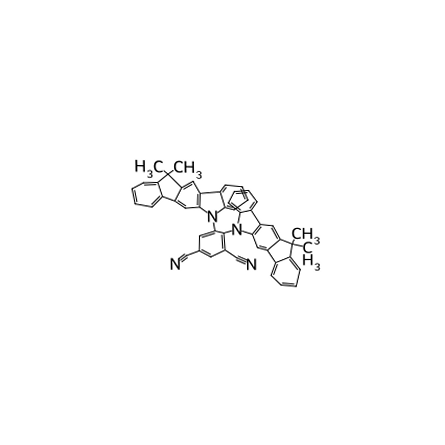 CC1(C)c2ccccc2-c2cc3c(cc21)c1ccccc1n3-c1cc(C#N)cc(C#N)c1-n1c2ccccc2c2cc3c(cc21)-c1ccccc1C3(C)C